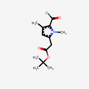 Cc1cc(CC(=O)OC(C)(C)C)n(C)c1C(=O)Cl